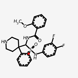 COc1ccccc1C(=O)NC(C1(c2ccccc2)CCNCC1)S(=O)(=O)Nc1ccc(F)c(F)c1